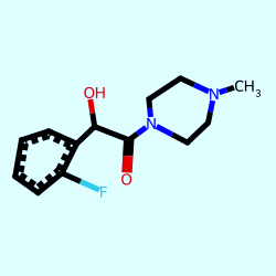 CN1CCN(C(=O)C(O)c2ccccc2F)CC1